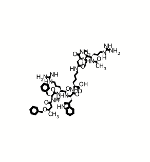 CC(=O)N[C@@H](CCCNC(=N)N)C(=O)N[C@@H](CC(=O)NCCCC[C@H](NC(=O)[C@H](Cc1c[nH]c2ccccc12)NC(=O)[C@H](CCCNC(=N)N)NC(=O)[C@@H](Cc1ccccc1)NC(=O)C[C@@H](C)OCc1ccccc1)C(=O)O)C(N)=O